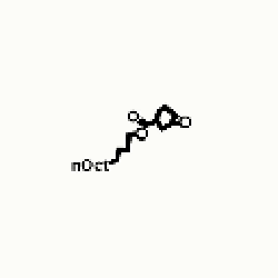 CCCCCCCCCCCCOC(=O)C1CCC2OC2C1